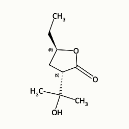 CC[C@@H]1C[C@@H](C(C)(C)O)C(=O)O1